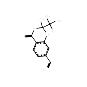 C=Cc1ccc2c(c1)OC(C)(C(C)(C)C)OC2=O